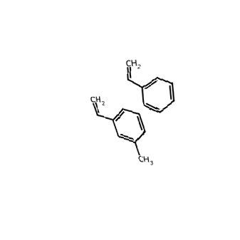 C=Cc1cccc(C)c1.C=Cc1ccccc1